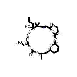 C=CC[C@@]1(O)CCC[C@H](CO)OC(=O)C[C@H](I)C[C@@H]2CCC[C@H](C[C@@H]3CCO[C@H](/C=C/C1(C)C)O3)O2